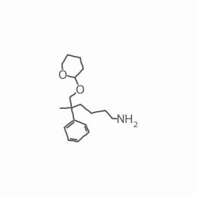 CC(CCCCN)(COC1CCCCO1)c1ccccc1